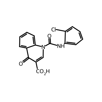 O=C(O)c1cn(C(=O)Nc2ccccc2Cl)c2ccccc2c1=O